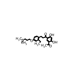 CCc1cc(OCCCN(C)C)ccc1CCC(=O)c1cc(C(C)=O)c(O)cc1O